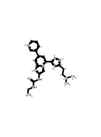 CCNC(=O)Nc1cn2c(-c3nnc(CCN(C)C)s3)cc(-c3cccnc3)cc2n1